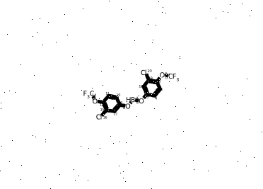 FC(F)(F)Oc1ccc(OBOc2ccc(OC(F)(F)F)c(Cl)c2)cc1Cl